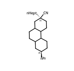 CCCCCCC[C@]1(C#N)CCC2C(CCC3C[C@H](CCC)CCC32)C1